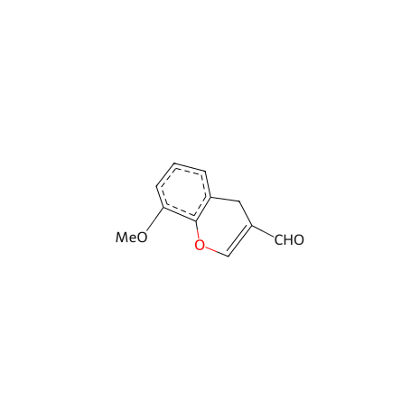 COc1cccc2c1OC=C(C=O)C2